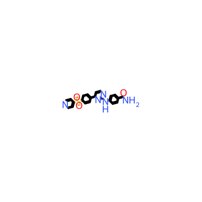 NC(=O)c1ccc(Nc2nccc(C3=CCC(S(=O)(=O)c4ccncc4)C=C3)n2)cc1